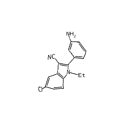 CCn1c(-c2cccc(N)c2)c(C#N)c2cc(Cl)ccc21